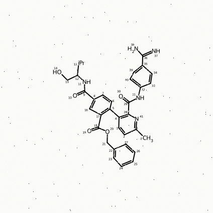 Cc1ccc(-c2ccc(C(=O)NC(CO)C(C)C)cc2C(=O)OCc2ccccc2)c(C(=O)Nc2ccc(C(=N)N)cc2)n1